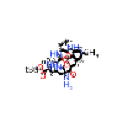 CCC[C@H](NC(=O)[C@@](N)(CCCC(N)C(=O)OC(C)(C)C)C(=O)C=Cc1cccc(C)c1)C(=O)N[C@@H](CC(C)C)C(N)=O